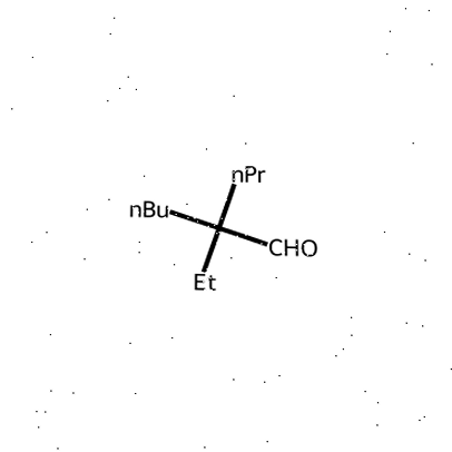 CCCCC(C=O)(CC)CCC